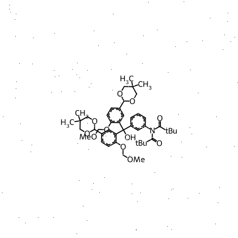 COCOc1ccc(C2OCC(C)(C)CO2)cc1C(O)(c1cccc(N(C(=O)C(C)(C)C)C(=O)C(C)(C)C)c1)c1cc(C2OCC(C)(C)CO2)ccc1OCOC